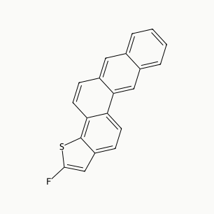 Fc1cc2ccc3c4cc5ccccc5cc4ccc3c2s1